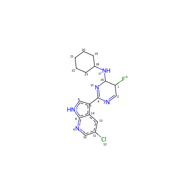 FC1C=NC(c2c[nH]c3ncc(Cl)cc23)=NC1NC1CCCCC1